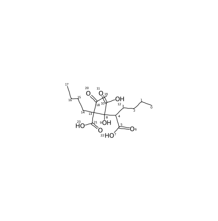 CCCCC(C(=O)O)C(O)(C(=O)O)C(CCCC)(C(C)=O)C(=O)O